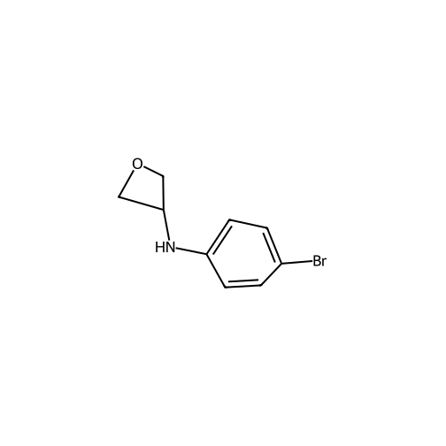 Brc1ccc(NC2COC2)cc1